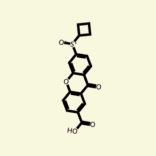 O=C(O)c1ccc2oc3cc([S+]([O-])C4CCC4)ccc3c(=O)c2c1